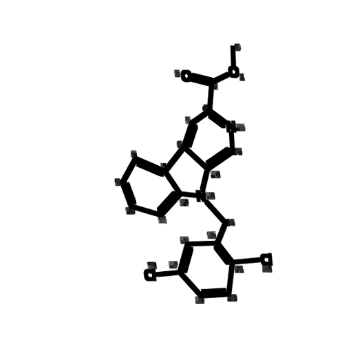 COC(=O)c1cc2c3ccccc3n(Cc3cc(Cl)ccc3Cl)c2cn1